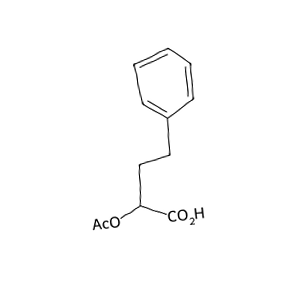 CC(=O)OC(CCc1ccccc1)C(=O)O